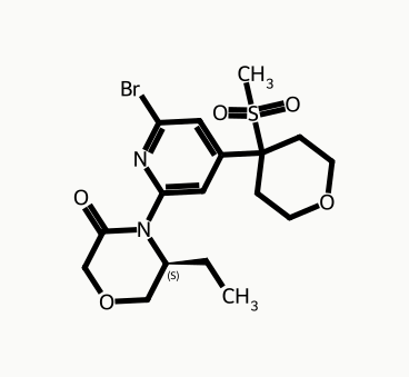 CC[C@H]1COCC(=O)N1c1cc(C2(S(C)(=O)=O)CCOCC2)cc(Br)n1